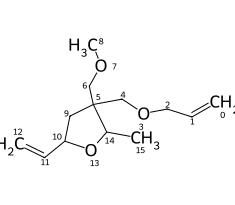 C=CCOCC1(COC)CC(C=C)OC1C